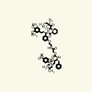 CCC(C)(C)C(=O)C(=O)N1CCCC[C@H]1C(=O)O[C@H](CCc1ccc(OC)c(OC)c1)c1cccc(OCCNC(=O)COC(=O)N[C@@H](Cc2ccccc2)[C@H](O)CN(CC(C)C)S(=O)(=O)c2ccc([N+](=O)[O-])cc2)c1